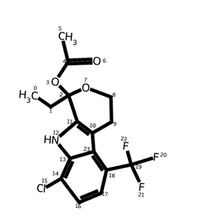 CCC1(OC(C)=O)OCCc2c1[nH]c1c(Cl)ccc(C(F)(F)F)c21